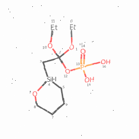 CCOC(C[SiH]1CCCCO1)(OCC)OP(=O)(O)O